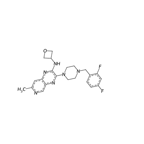 Cc1cc2nc(NC3COC3)c(N3CCN(Cc4ccc(F)cc4F)CC3)nc2cn1